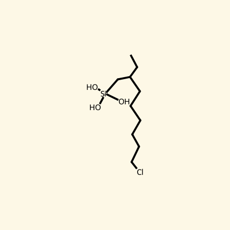 CCC(CCCCCCCl)C[Si](O)(O)O